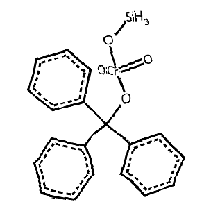 [O]=[Cr](=[O])([O][SiH3])[O]C(c1ccccc1)(c1ccccc1)c1ccccc1